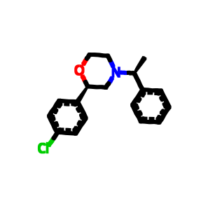 C[C@@H](c1ccccc1)N1CCO[C@H](c2ccc(Cl)cc2)C1